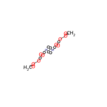 C=CC(=O)OCCCCOc1ccc(C(=O)Oc2ccc(/C=C\c3ccc4ccccc4c3-c3c(/C=C\c4ccc(OC(=O)c5ccc(OCCCCOC(=O)C=C)cc5)cc4)ccc4ccccc34)cc2)cc1